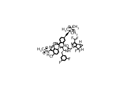 Cn1nc(NS(C)(=O)=O)c2c(Cl)ccc(-n3c([C@H](Cc4cc(F)cc(F)c4)NC(=O)Cn4nc(C(F)F)c5c4C(F)(F)[C@@H]4C[C@H]54)nc4cc(C#CC(C)(C)S(C)(=O)=O)ccc4c3=O)c21